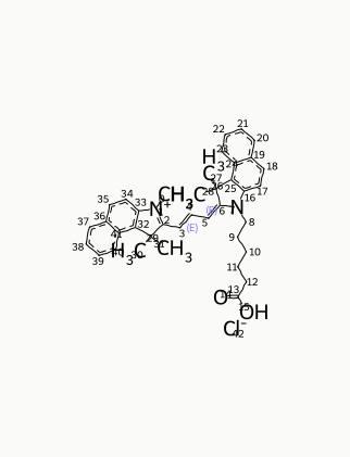 C[N+]1=C(/C=C/C=C2/N(CCCCCC(=O)O)c3ccc4ccccc4c3C2(C)C)C(C)(C)c2c1ccc1ccccc21.[Cl-]